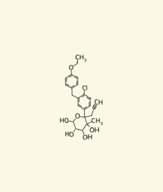 C#CCC1(c2ccc(Cl)c(Cc3ccc(OCC)cc3)c2)OC(O)C(O)C(O)C1(C)O